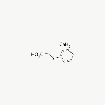 O=C(O)CSc1ccccc1.[CaH2]